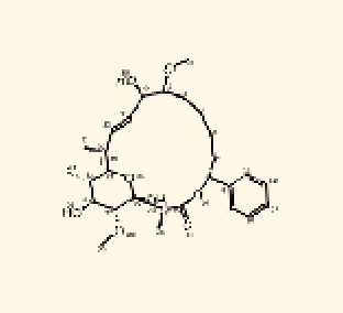 CO[C@H]1CCCCC(c2ccccc2)OC(=O)[C@@H](C)[C@@]2(O)O[C@H]([C@@H](C)[C@H](O)[C@H]2OC)[C@@H](C)/C=C/[C@H]1O